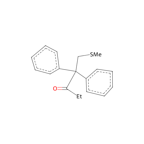 CCC(=O)C(CSC)(c1ccccc1)c1ccccc1